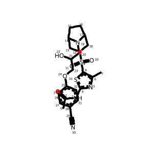 CC(=O)Nc1nc(C)c(S(=O)(=O)N2CC3CCC(C2)N3CC(O)COc2ccc(C#N)cc2)s1